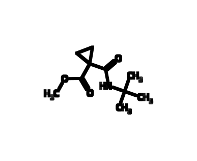 COC(=O)C1(C(=O)NC(C)(C)C)CC1